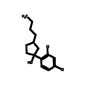 CCCCN1CCC(O)(c2ccc(Cl)cc2Cl)C1